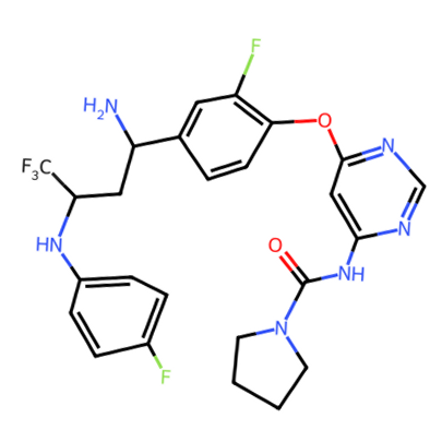 NC(CC(Nc1ccc(F)cc1)C(F)(F)F)c1ccc(Oc2cc(NC(=O)N3CCCC3)ncn2)c(F)c1